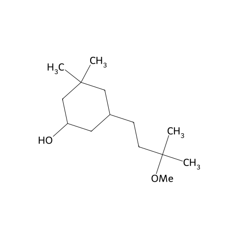 COC(C)(C)CCC1CC(O)CC(C)(C)C1